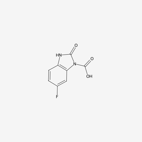 O=C(O)n1c(=O)[nH]c2ccc(F)cc21